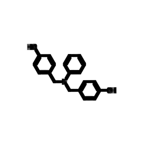 Oc1ccc(CN(Cc2ccc(O)cc2)c2ccccc2)cc1